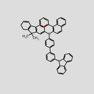 CC1(C)C2=C(C=CCC2)c2ccc(N(c3ccc(-c4cccc(-n5c6ccccc6c6ccccc65)c4)cc3)c3ccc4ccccc4c3-c3ccccc3)cc21